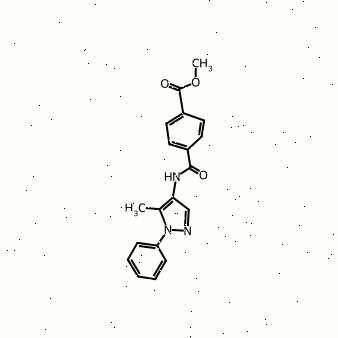 COC(=O)c1ccc(C(=O)Nc2cnn(-c3ccccc3)c2C)cc1